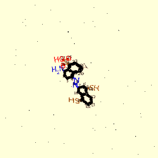 Nc1ccc(N=Nc2cc(S)c3cccc(S)c3c2)c2cccc(S(=O)(=O)O)c12